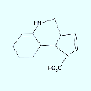 O=C(O)N1C=CC2CNC3=CCCCC3C21